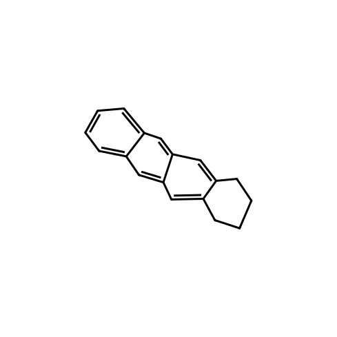 c1ccc2cc3cc4c(cc3cc2c1)CCCC4